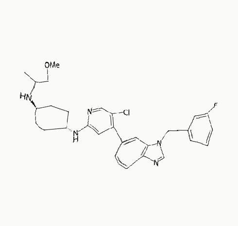 COCC(C)N[C@H]1CC[C@H](Nc2cc(-c3ccc4ncn(Cc5cccc(F)c5)c4c3)c(Cl)cn2)CC1